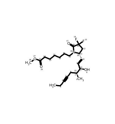 CCC#CC[C@H](C)[C@H](O)C=C[C@H]1CC(F)(F)C(=O)N1CCCCCCC(=O)OC